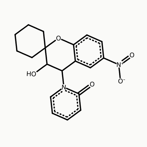 O=c1ccccn1C1c2cc([N+](=O)[O-])ccc2OC2(CCCCC2)C1O